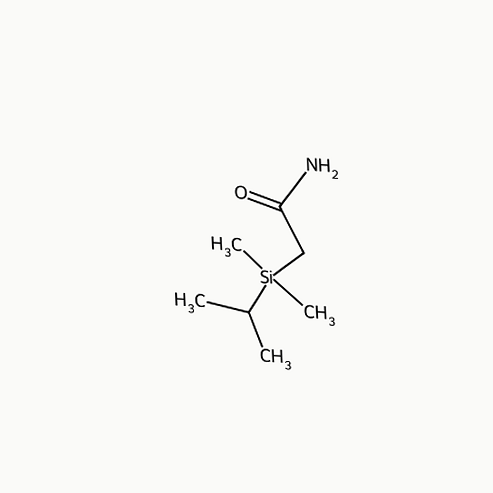 CC(C)[Si](C)(C)CC(N)=O